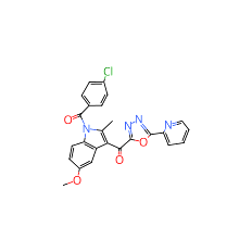 COc1ccc2c(c1)c(C(=O)c1nnc(-c3ccccn3)o1)c(C)n2C(=O)c1ccc(Cl)cc1